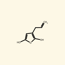 C=CCc1cc(O)oc1O